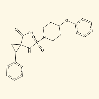 O=C(O)C1(NS(=O)(=O)N2CCC(Oc3ccccc3)CC2)CC1c1ccccc1